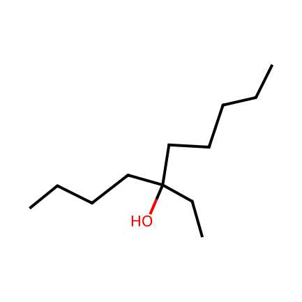 CCCCCC(O)(CC)CCCC